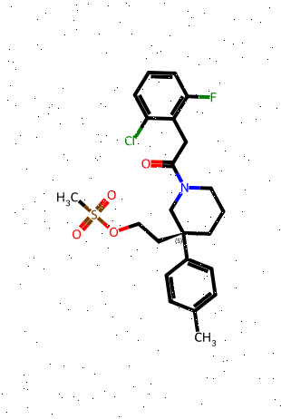 Cc1ccc([C@@]2(CCOS(C)(=O)=O)CCCN(C(=O)Cc3c(F)cccc3Cl)C2)cc1